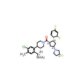 CC[C@H](NC(C)=O)c1cc(C)c(Cl)cc1C1CCN(C(=O)[C@@H]2C[C@H](N3CC[C@H](F)C3)C[C@H]2C2C=CC(F)=CC2F)CC1